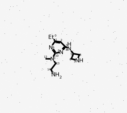 CCc1cc(NC2CNC2)nc(N(C)CCN)n1